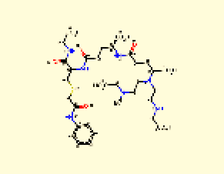 CCN(CCN(CCNCC(=O)O)C(CCC(=O)N[C@@H](CCC(=O)N[C@@H](CSCC(=O)Nc1ccccc1)C(=O)NCC(=O)O)C(=O)O)C(=O)O)CC(=O)O